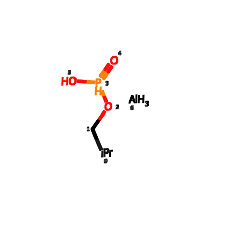 CC(C)CO[PH](=O)O.[AlH3]